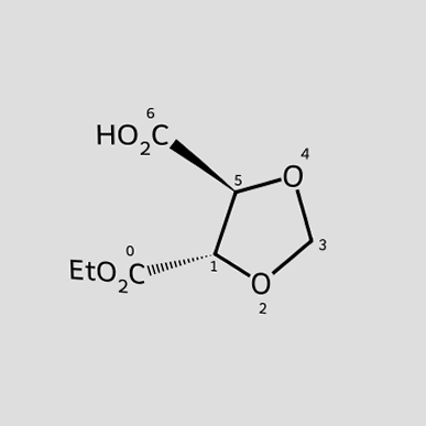 CCOC(=O)[C@H]1OCO[C@@H]1C(=O)O